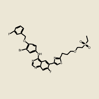 CCS(=O)(=O)CCOCCCc1nc(-c2cc3c(Nc4ccc(OCc5cccc(F)c5)c(Br)c4)ncnc3cc2F)cs1